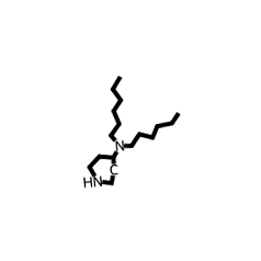 CCCCCCN(CCCCCC)C1CCNCC1